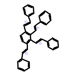 [c]1cc(/C=C/c2ccccc2)c(/C=C/c2ccccc2)c(/C=C/c2ccccc2)c1/C=C/c1ccccc1